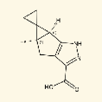 O=C(O)c1n[nH]c2c1C[C@@H]1[C@H]2C12CC2